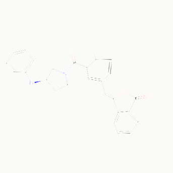 O=C1O/C(=C\c2ccc(F)c(C(=O)N3CC[C@@H](Nc4ccccc4)C3)c2)c2ccccc21